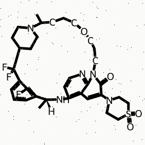 CC1CCCOCCCn2c(=O)c(N3CCS(=O)(=O)CC3)cc3c(ccnc32)N[C@H](C)c2cccc(c2F)C(F)(F)C2CCN1CC2